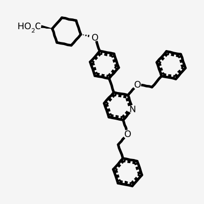 O=C(O)[C@H]1CC[C@H](Oc2ccc(-c3ccc(OCc4ccccc4)nc3OCc3ccccc3)cc2)CC1